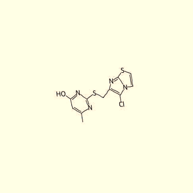 Cc1cc(O)nc(SCc2nc3sccn3c2Cl)n1